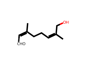 CC(=CCCC(C)=CC=O)CO